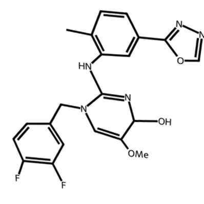 COC1=CN(Cc2ccc(F)c(F)c2)C(Nc2cc(-c3nnco3)ccc2C)=NC1O